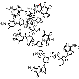 CC[C@H]1O[C@@H](n2cnc3c(N)ncnc32)CC1OP(=O)(S)OC[C@H]1O[C@@H](n2cnc3c(=O)[nH]c(N)nc32)CC1OP(=O)(S)OC[C@H]1O[C@@H](n2cc(C)c(=O)[nH]c2=O)CC1OP(=O)(S)OC[C@H]1O[C@@H](n2cc(C)c(=O)[nH]c2=O)CC1OP(=O)(S)OC[C@H]1O[C@@H](n2cnc3c(=O)[nH]c(N)nc32)CC1OP(=O)(S)OC[C@H]1O[C@@H](n2cc(C)c(N)nc2=O)CC1OP(=O)(S)OC[C@H]1O[C@@H](n2cnc3c(N)ncnc32)CC1OP(=O)(O)OC